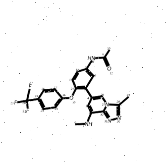 CNc1cc(-c2cc(NC(C)=O)ccc2Oc2ccc(C(F)(F)F)cc2)cn2c(C)nnc12